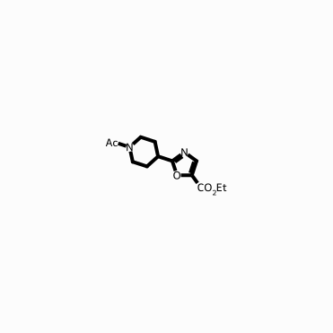 CCOC(=O)c1cnc(C2CCN(C(C)=O)CC2)o1